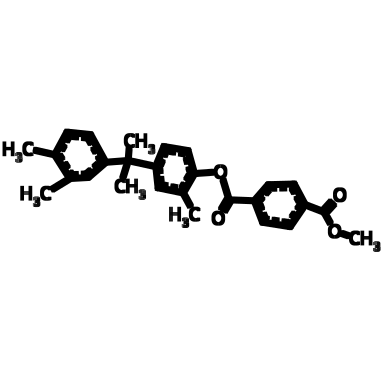 COC(=O)c1ccc(C(=O)Oc2ccc(C(C)(C)c3ccc(C)c(C)c3)cc2C)cc1